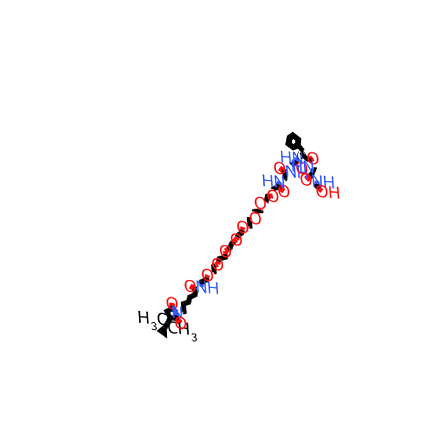 CC(C)(C1CC1)C1CC(=O)N(CCCCCC(=O)NCCOCCOCCOCCOCCOCCOCCOCCOCC(=O)NCC(=O)NCC(=O)N[C@@H](Cc2ccccc2)C(=O)NCC(=O)NCO)C1=O